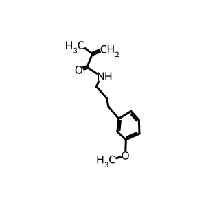 C=C(C)C(=O)NCCCc1cccc(OC)c1